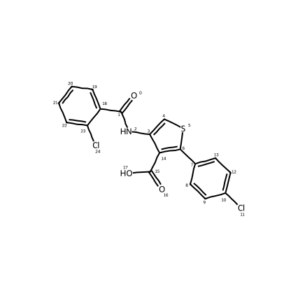 O=C(Nc1csc(-c2ccc(Cl)cc2)c1C(=O)O)c1ccccc1Cl